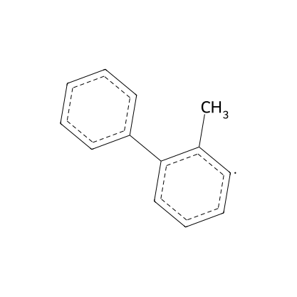 Cc1[c]cccc1-c1ccccc1